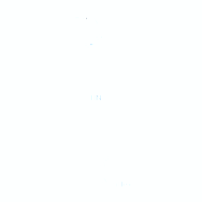 CCCCCC/C=C\COOCCCCCCCCNCCCCCCCC(=O)OC/C=C\CCCCCC